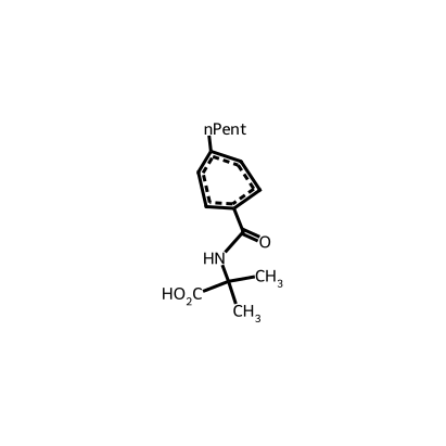 CCCCCc1ccc(C(=O)NC(C)(C)C(=O)O)cc1